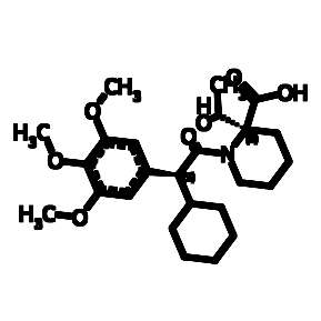 COc1cc([C@@H](C(=O)N2CCCC[C@@]2(C(=O)O)C(C)O)C2CCCCC2)cc(OC)c1OC